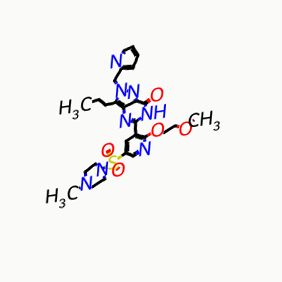 CCCc1c2nc(-c3cc(S(=O)(=O)N4CCN(C)CC4)cnc3OCCOC)[nH]c(=O)c2nn1Cc1ccccn1